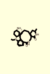 CCN(c1cccc2c1CC=CCCC1=C(CNC2=O)C(=O)NC(C)C1)[C@H]1CC[C@@H](N)CC1